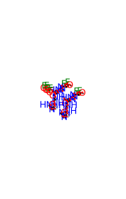 CCc1cc(Nc2nccn3c(-c4ccc(OC)c(F)c4F)cnc23)ccc1C(=O)NCCCNC(=O)C[C@@H]1CC[N+](C)(CC2CNC2)C1.CCc1cc(Nc2nccn3c(-c4ccc(OC)c(F)c4F)cnc23)ccc1C(=O)NCCCNC(=O)C[C@@H]1CC[N+](C)(CC2CNC2)C1.O=C([O-])C(F)(F)F.O=C([O-])C(F)(F)F